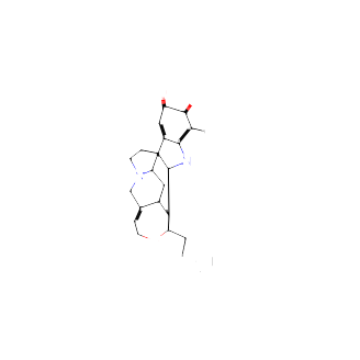 CC1=C2NC3C4C(CC(=O)O)OCC=C5CN6CCC3(C2=CC(=O)C1=O)C6CC54